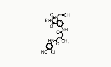 C#CCn1c(=O)n(CC)c(=O)c2cc(NC(=O)CC(C)CC(=O)Nc3ccc(C#N)c(Cl)c3)ccc21